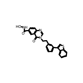 O=C(NO)c1ccc2ncn(CCc3cccc(-c4csc5ccccc45)c3)c(=O)c2c1